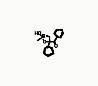 CCC(OP(C)(=O)O)(C(=O)c1ccccc1)c1ccccc1